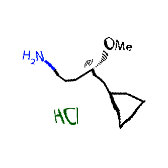 CO[C@@H](CN)C1CC1.Cl